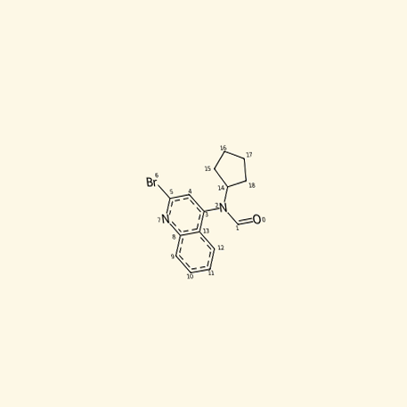 O=CN(c1cc(Br)nc2ccccc12)C1CCCC1